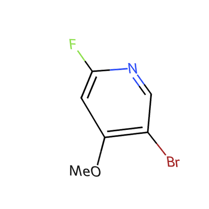 COc1cc(F)ncc1Br